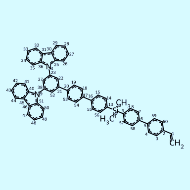 C=Cc1ccc(-c2ccc([Si](C)(C)c3ccc(-c4ccc(-c5cc(-n6c7ccccc7c7ccccc76)cc(-n6c7ccccc7c7ccccc76)c5)cc4)cc3)cc2)cc1